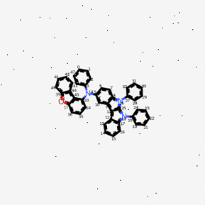 c1ccc(N(c2ccc3c(c2)c2c4ccccc4n(-c4ccccc4)c2n3-c2ccccc2)c2cccc3oc4ccccc4c23)cc1